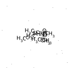 CC[C@@H](CC(C)C)C(=O)N[C@@H](Cc1ccc([Si](CC)(CC)CCCCc2ccc(C)cc2)cc1)C(=O)OC